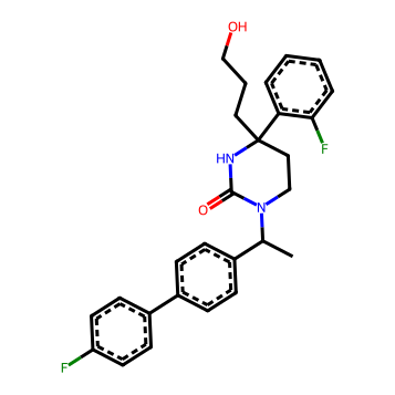 CC(c1ccc(-c2ccc(F)cc2)cc1)N1CCC(CCCO)(c2ccccc2F)NC1=O